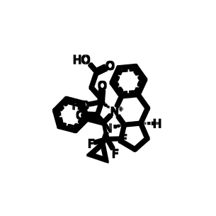 O=C(O)CCC(=O)N(C1CC1)[C@@]12CCC[C@@H]1Cc1ccccc1[N@+]2(C(=O)O)[C@H](c1ccccc1)C(F)(F)F